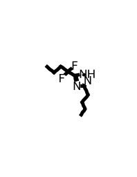 CCCCc1n[nH]c(C(F)(F)CCC)n1